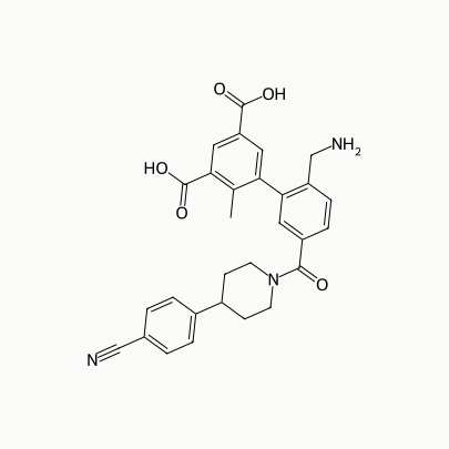 Cc1c(C(=O)O)cc(C(=O)O)cc1-c1cc(C(=O)N2CCC(c3ccc(C#N)cc3)CC2)ccc1CN